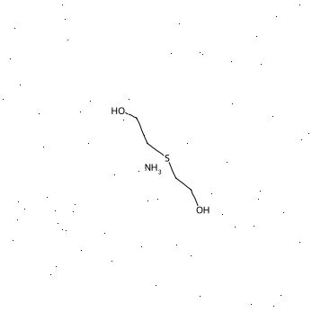 N.OCCSCCO